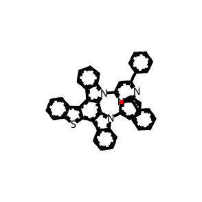 c1ccc(-c2cc(-n3c4ccccc4c4c5c6ccccc6sc5c5c6ccccc6n(-c6ccccc6)c5c43)nc(-c3ccccc3)n2)cc1